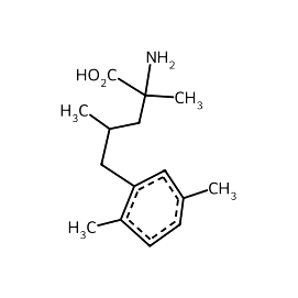 Cc1ccc(C)c(CC(C)CC(C)(N)C(=O)O)c1